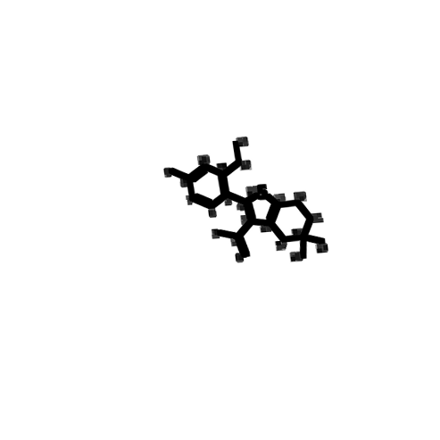 C=C(C)c1c(-c2ccc(C)cc2CC)sc2c1CC(C)(C)CC2